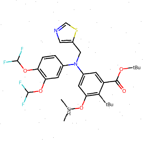 C[SiH](C)Oc1cc(N(Cc2cncs2)c2ccc(OC(F)F)c(OC(F)F)c2)cc(C(=O)OC(C)(C)C)c1C(C)(C)C